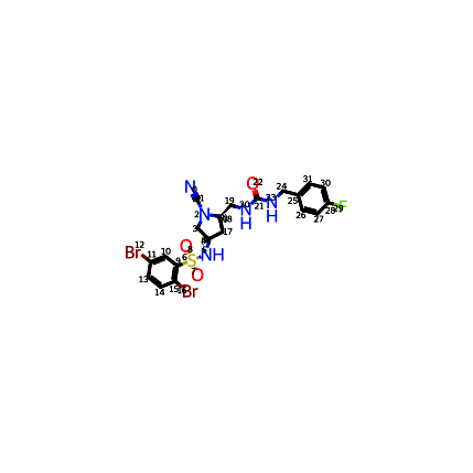 N#CN1C[C@H](NS(=O)(=O)c2cc(Br)ccc2Br)C[C@@H]1CNC(=O)NCc1ccc(F)cc1